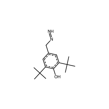 CC(C)(C)c1cc(CN=N)cc(C(C)(C)C)c1O